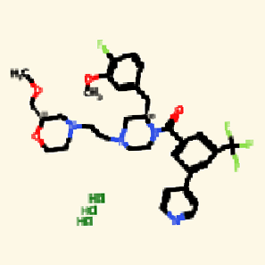 COC[C@@H]1CN(CCN2CCN(C(=O)c3cc(-c4ccncc4)cc(C(F)(F)F)c3)[C@H](Cc3ccc(F)c(OC)c3)C2)CCO1.Cl.Cl.Cl